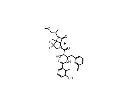 COCC(C)N1C(=O)[C@H]2N(C(=O)C(O)C(Cc3cccc(F)c3)NC(=O)c3cccc(O)c3C)CC(F)(F)C21C